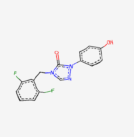 O=c1n(Cc2c(F)cccc2F)cnn1-c1ccc(O)cc1